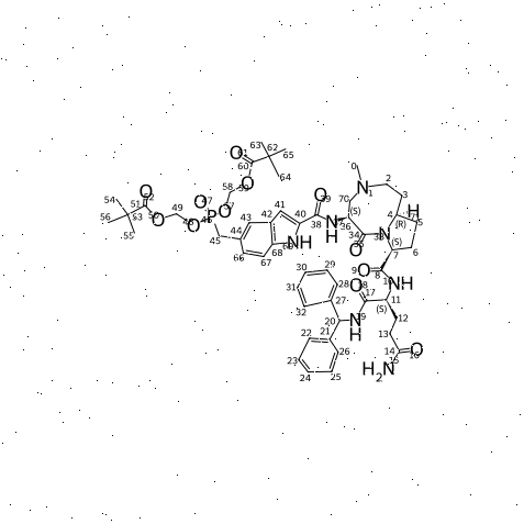 CN1CC[C@H]2CC[C@@H](C(=O)N[C@@H](CCC(N)=O)C(=O)NC(c3ccccc3)c3ccccc3)N2C(=O)[C@@H](NC(=O)c2cc3cc(CP(=O)(OCOC(=O)C(C)(C)C)OCOC(=O)C(C)(C)C)ccc3[nH]2)C1